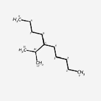 CCCCC[C](CCCC)C(C)C